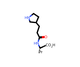 CC(C)[C@H](NC(=O)CCC1CCNC1)C(=O)O